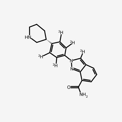 [2H]c1c([2H])c(-n2nc3c(C(N)=O)cccc3c2[2H])c([2H])c([2H])c1[C@H]1CCCNC1